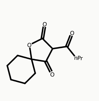 CCCC(=O)C1C(=O)OC2(CCCCC2)C1=O